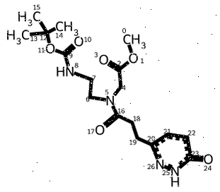 COC(=O)CN(CCNC(=O)OC(C)(C)C)C(=O)CCc1ccc(=O)[nH]n1